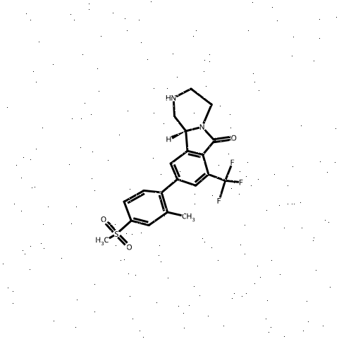 Cc1cc(S(C)(=O)=O)ccc1-c1cc2c(c(C(F)(F)F)c1)C(=O)N1CCNC[C@@H]21